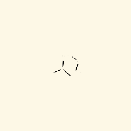 CCCCCCCCCCOCCCCCCCCCC.CCCN(C)C